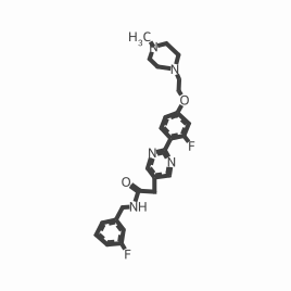 CN1CCN(CCOc2ccc(-c3ncc(CC(=O)NCc4cccc(F)c4)cn3)c(F)c2)CC1